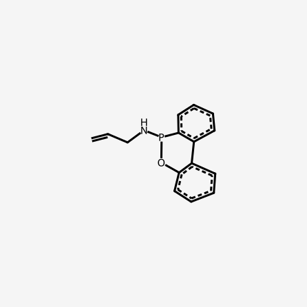 C=CCNP1Oc2ccccc2-c2ccccc21